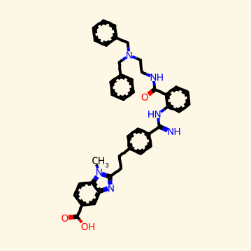 Cn1c(CCc2ccc(C(=N)Nc3ccccc3C(=O)NCCN(Cc3ccccc3)Cc3ccccc3)cc2)nc2cc(C(=O)O)ccc21